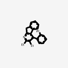 CCc1nc2c(c(-c3ccccc3C(C)C)c1CC)-c1ccccc1C2